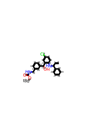 C=CC(Nc1ccc(Cl)cc1C(O)c1cccc(CNC(=O)OC(C)(C)C)c1)c1ccccc1